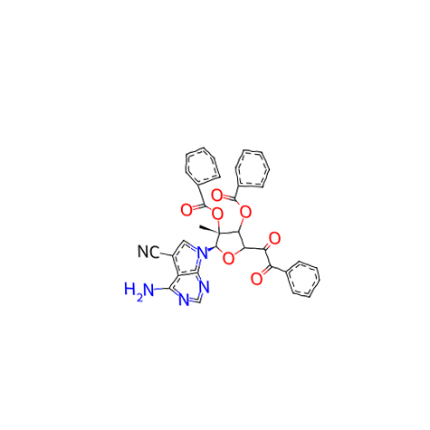 C[C@@]1(OC(=O)c2ccccc2)C(OC(=O)c2ccccc2)C(C(=O)C(=O)c2ccccc2)O[C@H]1n1cc(C#N)c2c(N)ncnc21